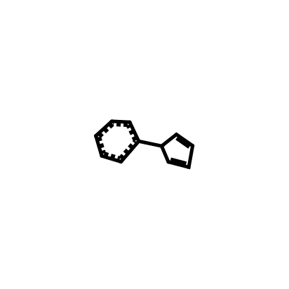 C1=C[C](c2ccccc2)C=C1